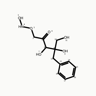 O=C(CONO)C(O)C(O)(CO)Cc1ccccc1